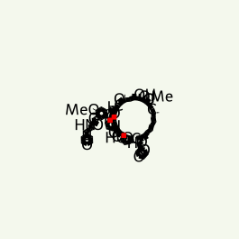 CO[C@@H]1C[C@H](CC2[C@H]3CCCN4C(=O)C(=O)[C@]5(O)O[C@@H](CC[C@H]5C)CC(OCC5COCCO5)/C(C)=C/C=C/C=C/[C@@H](C)C[C@@H](C)C(=O)[C@H](OC)[C@H](O)/C(C)=C/[C@@H](C)C(=O)C[C@@H]2OC(=O)C34)CC[C@H]1OC(=O)NCCN1CCOCC1